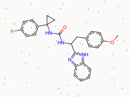 COc1ccc(CC(NC(=O)NC2(c3ccc(F)cc3)CC2)c2nc3ccccc3[nH]2)cc1